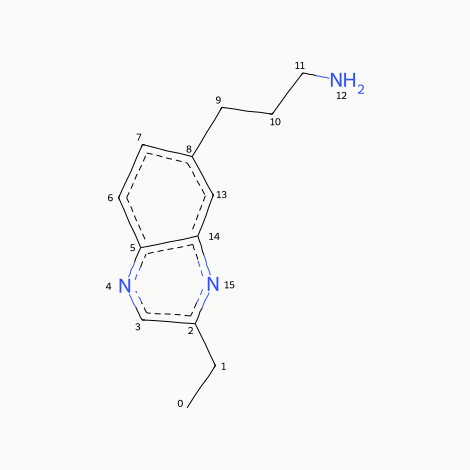 CCc1cnc2ccc(CCCN)cc2n1